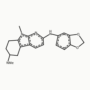 CNC1CCc2c(c3ccc(Nc4ccc5c(c4)OCO5)nc3n2C)C1